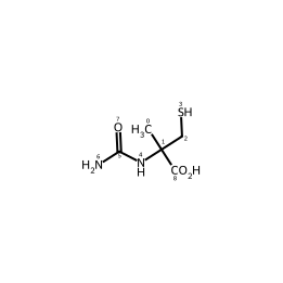 CC(CS)(NC(N)=O)C(=O)O